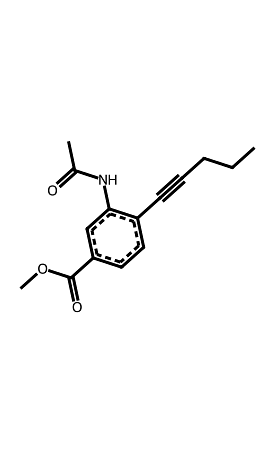 CCCC#Cc1ccc(C(=O)OC)cc1NC(C)=O